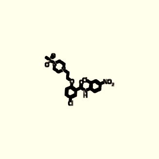 CS(=O)(=O)N1CCN(CCOc2ccc(Cl)cc2C(=O)Nc2ccc([N+](=O)[O-])cc2Cl)CC1